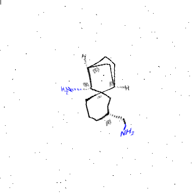 NC[C@@H]1CCC[C@]2(C1)[C@@H]1CC[C@@H](C1)[C@H]2N